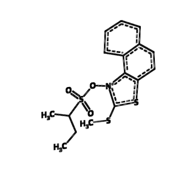 CCC(C)S(=O)(=O)O[n+]1c(SC)sc2ccc3ccccc3c21